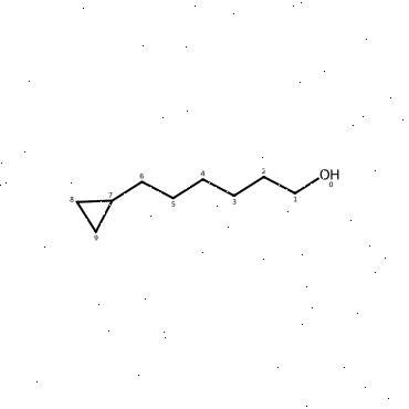 OCCCCCCC1CC1